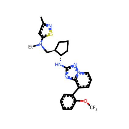 CCN(C[C@H]1CCC[C@@H]1Nc1nc2c(-c3ccccc3OC(F)(F)F)cccn2n1)c1cc(C)ns1